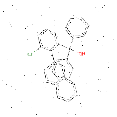 OC(c1ccccc1)(c1ccccc1)c1cccc(Cl)c1-c1ccc2ccccc2c1